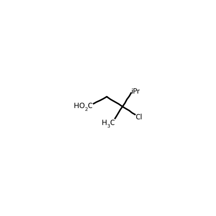 CC(C)C(C)(Cl)CC(=O)O